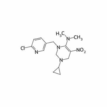 CN(C)C1=C([N+](=O)[O-])CN(C2CC2)CN1Cc1ccc(Cl)nc1